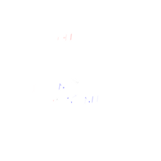 CC(CO)CCC(O)n1ccc(N)nc1=O